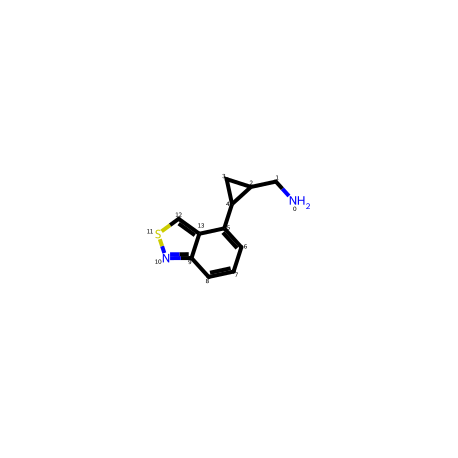 NCC1CC1c1cccc2nscc12